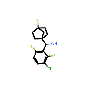 N[C@H](c1c(F)ccc(Cl)c1F)C12CCC(F)(CC1)C2